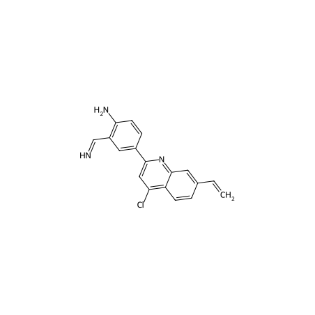 C=Cc1ccc2c(Cl)cc(-c3ccc(N)c(C=N)c3)nc2c1